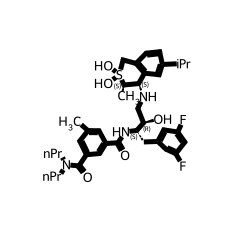 CCCN(CCC)C(=O)c1cc(C)cc(C(=O)N[C@@H](Cc2cc(F)cc(F)c2)[C@H](O)CN[C@H]2c3cc(C(C)C)ccc3CS(O)(O)[C@H]2C)c1